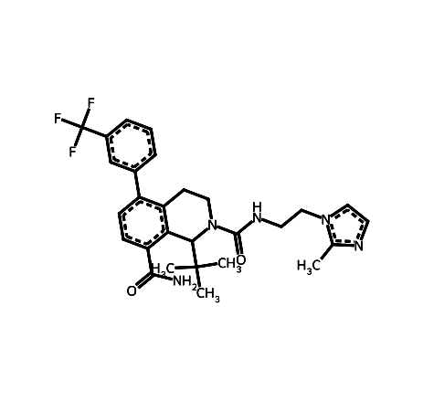 Cc1nccn1CCNC(=O)N1CCc2c(-c3cccc(C(F)(F)F)c3)ccc(C(N)=O)c2C1C(C)(C)C